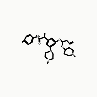 C=CCC(Oc1cc(C(C)C(=O)Nc2ccc(C)cc2)cc(N2CCN(C)CC2)c1)OC1CCN(C)CC1